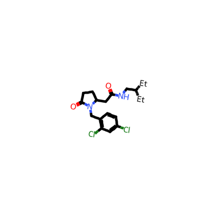 CCC(CC)CNC(=O)CC1CCC(=O)N1Cc1ccc(Cl)cc1Cl